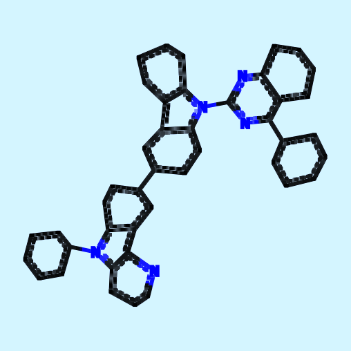 c1ccc(-c2nc(-n3c4ccccc4c4cc(-c5ccc6c(c5)c5ncccc5n6-c5ccccc5)ccc43)nc3ccccc23)cc1